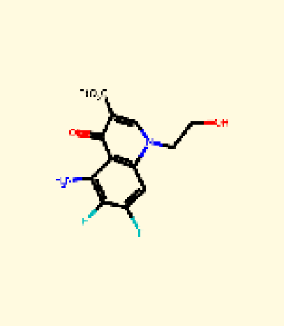 CCOC(=O)c1cn(CCO)c2cc(F)c(F)c(N)c2c1=O